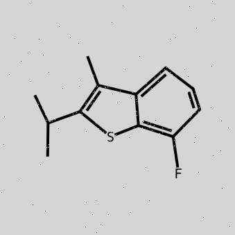 Cc1c(C(C)C)sc2c(F)cccc12